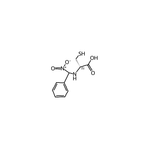 O=C(O)[C@@H](CS)NC(c1ccccc1)[N+](=O)[O-]